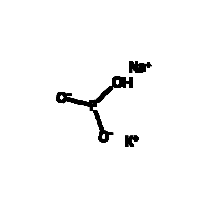 [K+].[Na+].[O-]P([O-])O